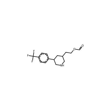 O=COCCC1CNCC(c2ccc(C(F)(F)F)cc2)C1